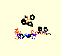 C/C=C/[P+](c1ccccc1)(c1ccccc1)c1ccccc1.CC(C)(C)[Si](OCCONC(=O)c1ccn(C2=CC3CN(C2)C(=O)N3OS(=O)(=O)[O-])n1)(c1ccccc1)c1ccccc1